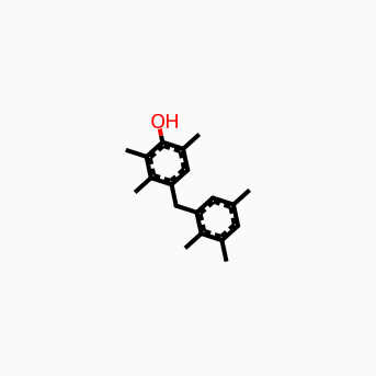 Cc1cc(C)c(C)c(Cc2cc(C)c(O)c(C)c2C)c1